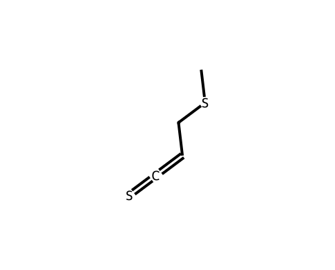 CSCC=C=S